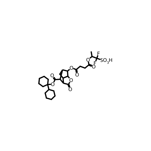 CC(OC(=O)CCC(=O)OC1C2CC3C1OC(=O)C3C2C(=O)OC1(C2CCCCC2)CCCCC1)C(F)(F)S(=O)(=O)O